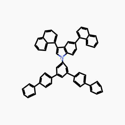 c1ccc(-c2ccc(-c3cc(-c4ccc(-c5ccccc5)cc4)cc(-n4cc(-c5cccc6ccccc56)c5cc(-c6cccc7ccccc67)ccc54)c3)cc2)cc1